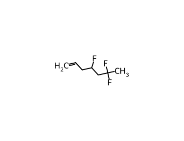 C=CCC(F)CC(C)(F)F